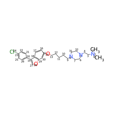 CN(C)CCN1CCN(CCCCCOc2ccc3c(-c4ccc(Cl)cc4)coc3c2)CC1